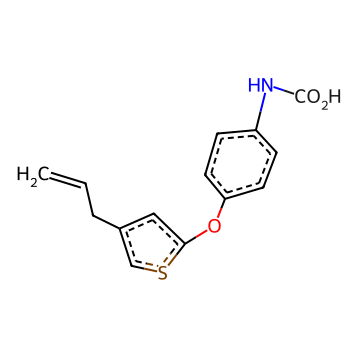 C=CCc1csc(Oc2ccc(NC(=O)O)cc2)c1